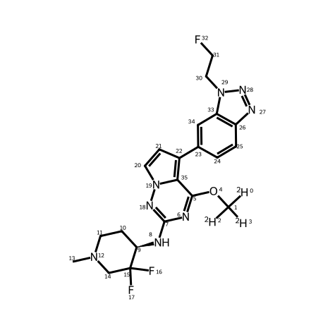 [2H]C([2H])([2H])Oc1nc(N[C@@H]2CCN(C)CC2(F)F)nn2ccc(-c3ccc4nnn(CCF)c4c3)c12